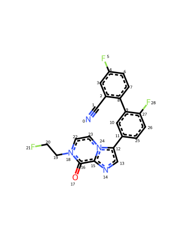 N#Cc1cc(F)ccc1-c1cc(-c2cnc3c(=O)n(CCF)ccn23)ccc1F